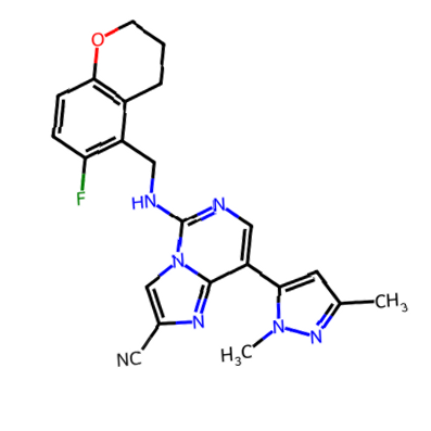 Cc1cc(-c2cnc(NCc3c(F)ccc4c3CCCO4)n3cc(C#N)nc23)n(C)n1